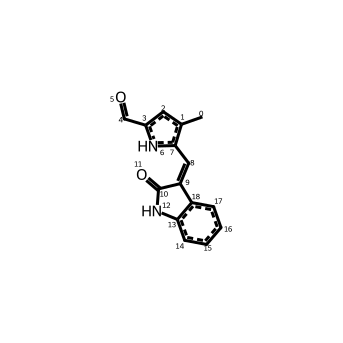 Cc1cc(C=O)[nH]c1/C=C1\C(=O)Nc2ccccc21